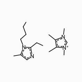 CCCCn1c(C)cnc1CC.Cc1c(C)[n+](C)cn1C